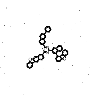 c1ccc(-c2ccc3ccc(-c4nc(-c5ccc6cc7c(cc6c5)oc5ccccc57)nc(-c5cc(-c6cccc7oc8ccccc8c67)c6ccccc6c5)n4)cc3c2)cc1